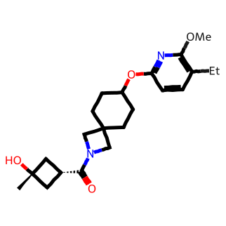 CCc1ccc(OC2CCC3(CC2)CN(C(=O)[C@H]2C[C@@](C)(O)C2)C3)nc1OC